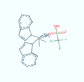 O=S(=O)(O)C(F)(F)F.[CH3][Zr]([CH3])(=[SiH2])([CH]1C=Cc2ccccc21)[CH]1C=Cc2ccccc21